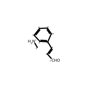 CN.O=CC=Cc1ccccc1